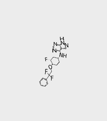 F[C@@H]1C[C@H](Nc2ncnc3[nH]ncc23)CC[C@H]1OCC(F)(F)c1ccccc1